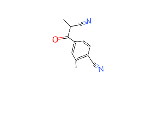 Cc1cc(C(=O)C(C)C#N)ccc1C#N